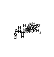 CN(C)CC[C@H](CSc1ccccc1)Nc1ccc(S(=O)(=O)NC(=O)c2ccc(NCCNCc3ccccc3-c3ccc(Cl)cc3)cc2)cc1S(C)(=O)=O